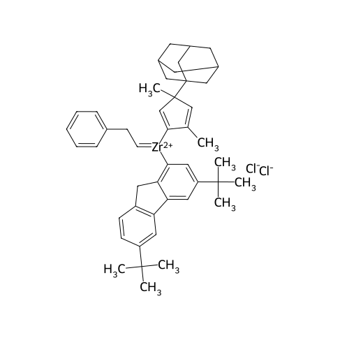 CC1=CC(C)(C23CC4CC(CC(C4)C2)C3)C=[C]1[Zr+2](=[CH]Cc1ccccc1)[c]1cc(C(C)(C)C)cc2c1Cc1ccc(C(C)(C)C)cc1-2.[Cl-].[Cl-]